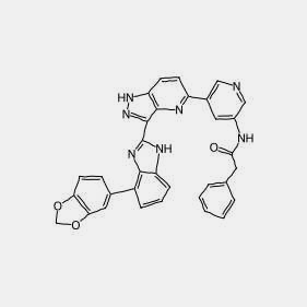 O=C(Cc1ccccc1)Nc1cncc(-c2ccc3[nH]nc(-c4nc5c(-c6ccc7c(c6)OCO7)cccc5[nH]4)c3n2)c1